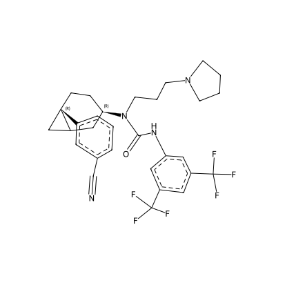 N#Cc1cccc([C@@]23CC[C@@H](N(CCCN4CCCC4)C(=O)Nc4cc(C(F)(F)F)cc(C(F)(F)F)c4)CC2C3)c1